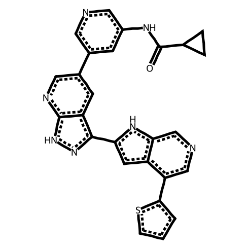 O=C(Nc1cncc(-c2cnc3[nH]nc(-c4cc5c(-c6cccs6)cncc5[nH]4)c3c2)c1)C1CC1